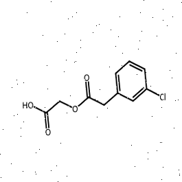 O=C(O)COC(=O)Cc1cccc(Cl)c1